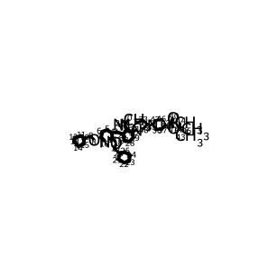 Cn1nc(-c2ccc(OCc3ccccc3)nc2OCc2ccccc2)c2cccc(N3CCC(N4CCN(C(=O)OC(C)(C)C)CC4)C3)c21